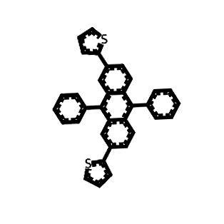 c1ccc(-c2c3ccc(-c4cccs4)cc3c(-c3ccccc3)c3cc(-c4cccs4)ccc23)cc1